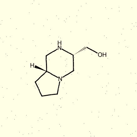 OC[C@@H]1CN2CCC[C@@H]2CN1